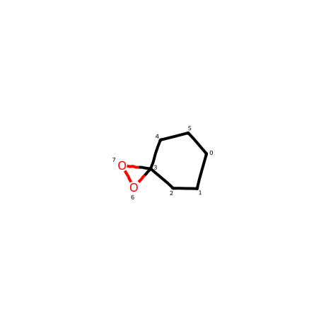 C1CCC2(CC1)OO2